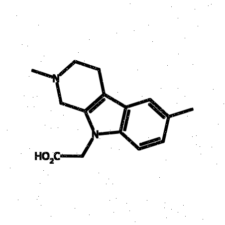 Cc1ccc2c(c1)c1c(n2CC(=O)O)CN(C)CC1